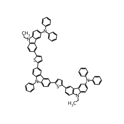 CCn1c2ccc(-c3ccc(-c4ccc5c(c4)c4cc(-c6ccc(-c7ccc8c(c7)c7cc(N(c9ccccc9)c9ccccc9)ccc7n8CC)s6)ccc4n5-c4ccccc4)s3)cc2c2cc(N(c3ccccc3)c3ccccc3)ccc21